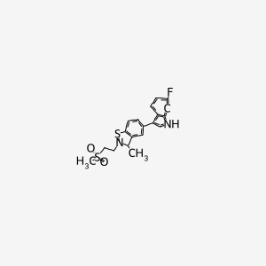 CC1c2cc(-c3c[nH]c4cc(F)ccc34)ccc2SN1CCS(C)(=O)=O